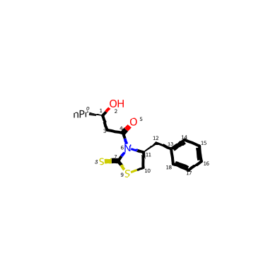 CCC[C@@H](O)CC(=O)N1C(=S)SC[C@@H]1Cc1ccccc1